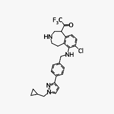 O=C(C1CNCCc2c1ccc(Cl)c2NCc1ccc(-c2ccn(CC3CC3)n2)cc1)C(F)(F)F